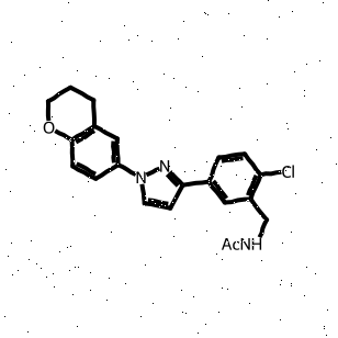 CC(=O)NCc1cc(-c2ccn(-c3ccc4c(c3)CCCO4)n2)ccc1Cl